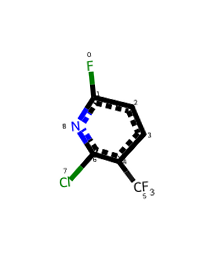 Fc1ccc(C(F)(F)F)c(Cl)n1